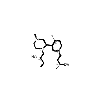 CC[C@H](O)CN1CCN(C)CC1C1CN(CC[C@@H](C)O)CC[C@H]1C